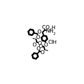 C[C@@H](OC(=O)c1ccccc1)C(=O)Oc1ccc(C[C@H](N)C(=O)O)cc1OC(=O)[C@@H](C)OC(=O)c1ccccc1.Cl